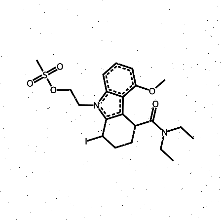 CCN(CC)C(=O)C1CCC(I)c2c1c1c(OC)cccc1n2CCOS(C)(=O)=O